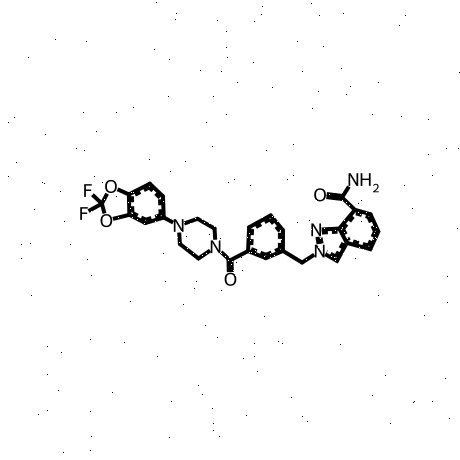 NC(=O)c1cccc2cn(Cc3cccc(C(=O)N4CCN(c5ccc6c(c5)OC(F)(F)O6)CC4)c3)nc12